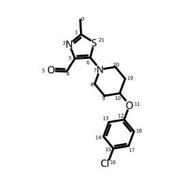 Cc1nc(C=O)c(N2CCC(Oc3ccc(Cl)cc3)CC2)s1